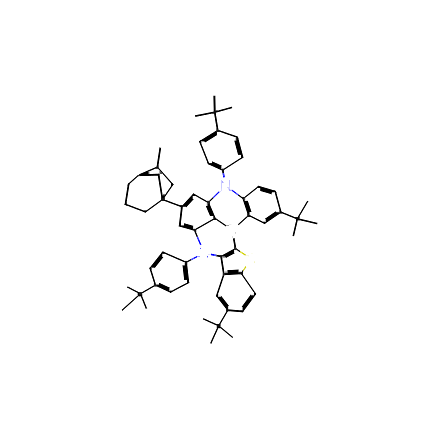 CC1CC2(c3cc4c5c(c3)N(c3ccc(C(C)(C)C)cc3)c3c(sc6ccc(C(C)(C)C)cc36)B5c3cc(C(C)(C)C)ccc3N4c3ccc(C(C)(C)C)cc3)CCCC1C2